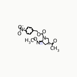 CO/N=C1/C[C@H](C(C)=O)CN1C(=O)OCc1ccc([N+](=O)[O-])cc1